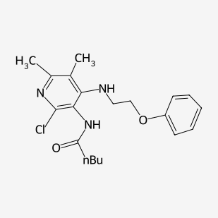 CCCCC(=O)Nc1c(Cl)nc(C)c(C)c1NCCOc1ccccc1